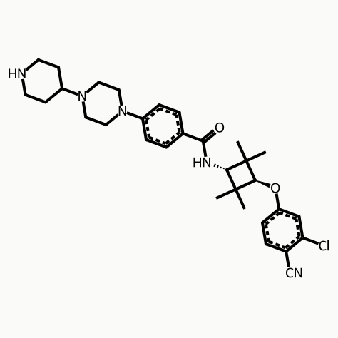 CC1(C)[C@H](NC(=O)c2ccc(N3CCN(C4CCNCC4)CC3)cc2)C(C)(C)[C@H]1Oc1ccc(C#N)c(Cl)c1